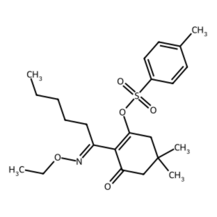 CCCCCC(=NOCC)C1=C(OS(=O)(=O)c2ccc(C)cc2)CC(C)(C)CC1=O